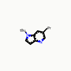 CC(C)c1cnc2ccn(C(C)(C)C)c2c1